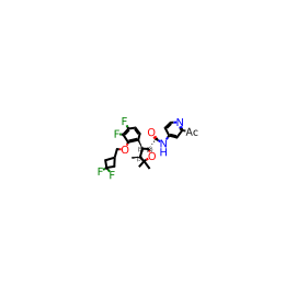 CC(=O)c1cc(NC(=O)[C@@H]2OC(C)(C)[C@@H](C)[C@H]2c2ccc(F)c(F)c2OCC2CC(F)(F)C2)ccn1